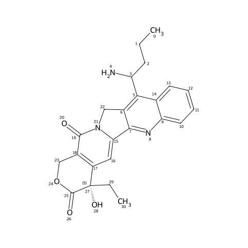 CCCC(N)c1c2c(nc3ccccc13)-c1cc3c(c(=O)n1C2)COC(=O)[C@]3(O)CC